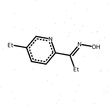 CCC(=NO)c1ccc(CC)cn1